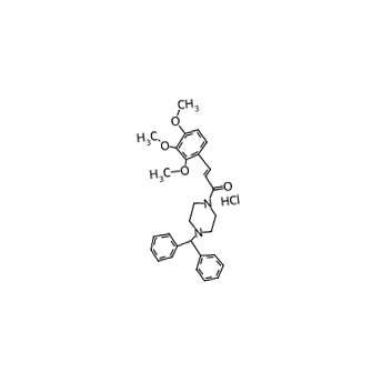 COc1ccc(C=CC(=O)N2CCN(C(c3ccccc3)c3ccccc3)CC2)c(OC)c1OC.Cl